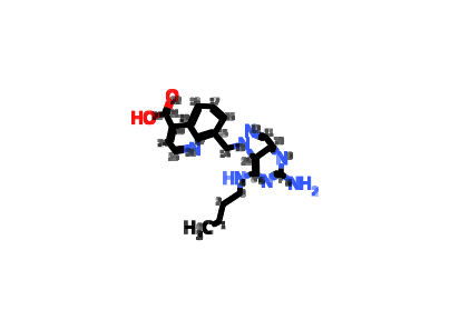 CCCCNc1nc(N)nc2cnn(Cc3cccc4c(C(=O)O)ccnc34)c12